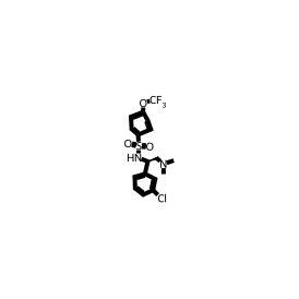 CN(C)C[C@H](NS(=O)(=O)c1ccc(OC(F)(F)F)cc1)c1cccc(Cl)c1